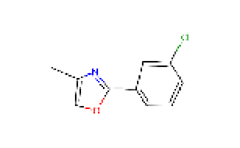 Cc1coc(-c2cccc(Cl)c2)n1